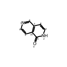 O=c1[nH]ccc2cnccc12